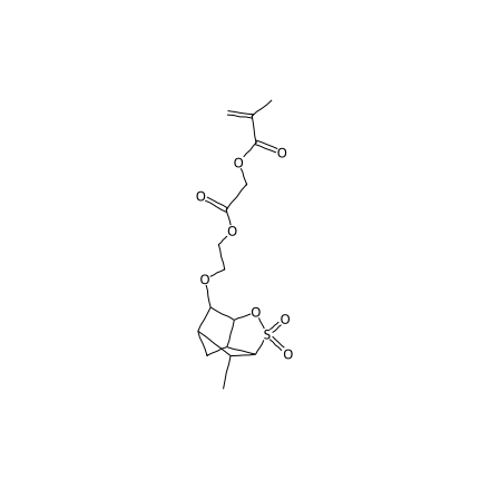 C=C(C)C(=O)OCC(=O)OCCOC1C2CC3C1OS(=O)(=O)C3C2C